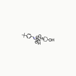 CC(C)(C)c1ccc(/C=C/S(=O)(=O)NC(=O)N2CCC(O)CC2)cc1